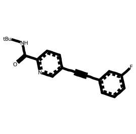 CC(C)(C)NC(=O)c1ccc(C#Cc2cccc(F)c2)cn1